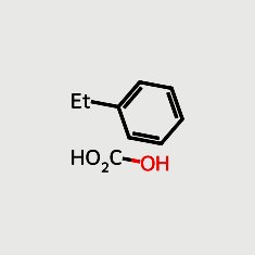 CCc1ccccc1.O=C(O)O